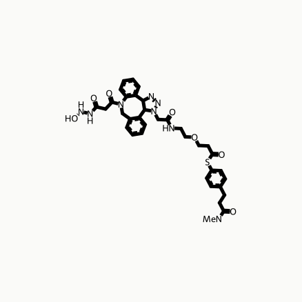 CNC(=O)CCc1ccc(SC(=O)CCOCCNC(=O)CN2N=NC3c4ccccc4N(C(=O)CC(=O)NNO)Cc4ccccc4C32)cc1